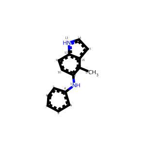 Cc1c(Nc2ccccc2)ccc2[nH]ccc12